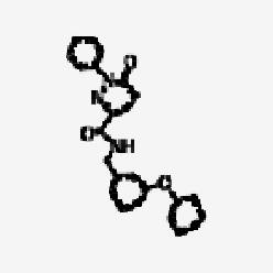 O=C(NCc1cccc(Oc2ccccc2)c1)c1ccc(=O)n(-c2ccccc2)n1